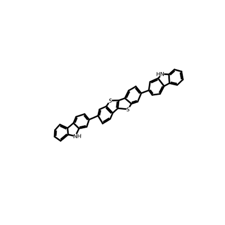 c1ccc2c(c1)[nH]c1cc(-c3ccc4c(c3)sc3c5ccc(-c6ccc7c(c6)[nH]c6ccccc67)cc5sc43)ccc12